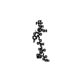 C[C@H]1Oc2ccc(F)cc2N(CCOC(=O)NCCNC(=O)[C@H](CCC(=O)OC(C)(C)C)NC(=O)OC(C)(C)C)C(=O)[C@H]1NC[C@](C)(O)C(=O)NCC(F)(F)C(F)(F)F